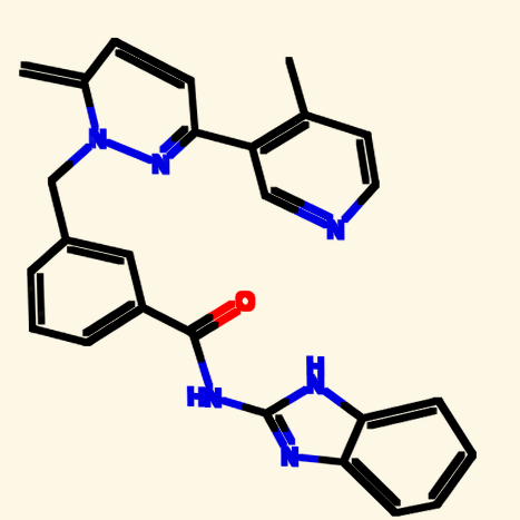 C=C1C=CC(c2cnccc2C)=NN1Cc1cccc(C(=O)Nc2nc3ccccc3[nH]2)c1